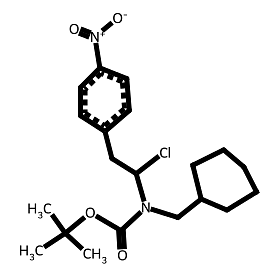 CC(C)(C)OC(=O)N(CC1CCCCC1)C(Cl)Cc1ccc([N+](=O)[O-])cc1